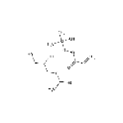 C=CC(=O)OO[Si](C)(C)C.CCC([SiH3])OCC(O)CO